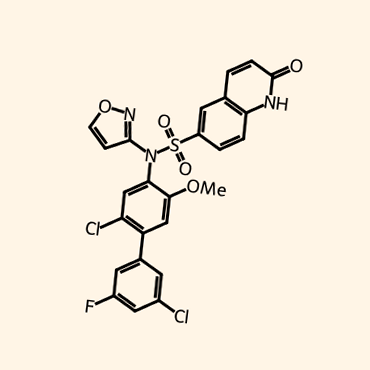 COc1cc(-c2cc(F)cc(Cl)c2)c(Cl)cc1N(c1ccon1)S(=O)(=O)c1ccc2[nH]c(=O)ccc2c1